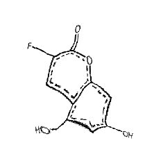 O=c1oc2cc(O)cc(O)c2cc1F